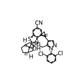 N#Cc1cc(F)c2nc([C@]3(O)[C@@H]4CC[C@H]3C[C@H](OCc3c(C5CC5)cnn3-c3c(Cl)cccc3Cl)C4)sc2c1